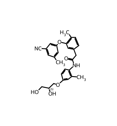 Cc1cc(C#N)cc(Oc2cc(CC(=O)Nc3ccc(OC[C@@H](O)CO)cc3C)ccc2C)c1